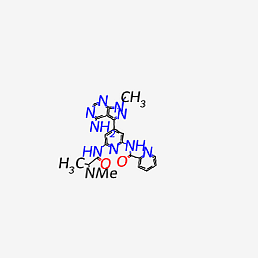 CNC(C)C(=O)Nc1cc(-c2nn(C)c3ncnc(N)c23)cc(NC(=O)c2ccccn2)n1